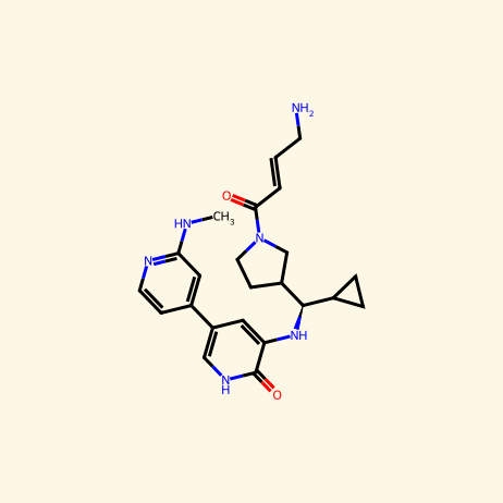 CNc1cc(-c2c[nH]c(=O)c(N[C@H](C3CC3)C3CCN(C(=O)/C=C/CN)C3)c2)ccn1